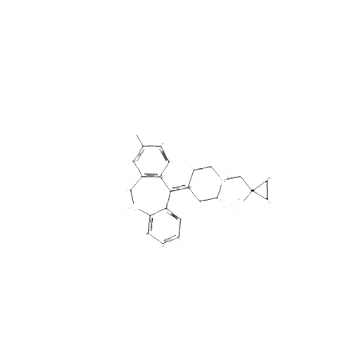 O=C(O)C1(CN2CCC(=C3c4ccc(F)cc4COc4ccccc43)CC2)CC1